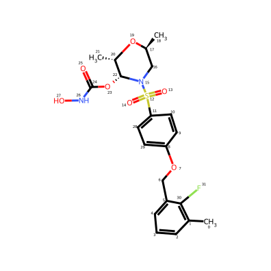 Cc1cccc(COc2ccc(S(=O)(=O)N3C[C@H](C)O[C@@H](C)[C@H]3OC(=O)NO)cc2)c1F